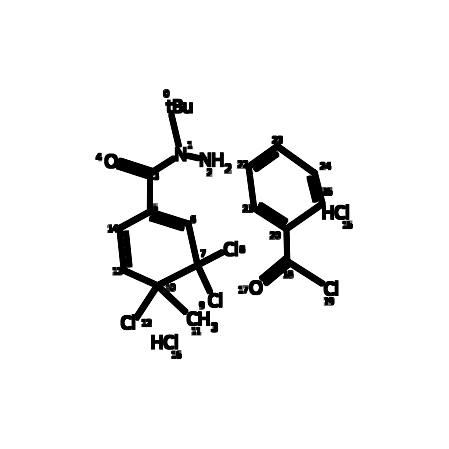 CC(C)(C)N(N)C(=O)C1=CC(Cl)(Cl)C(C)(Cl)C=C1.Cl.Cl.O=C(Cl)c1ccccc1